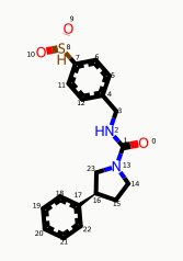 O=C(NCc1ccc([SH](=O)=O)cc1)N1CC[C@@H](c2ccccc2)C1